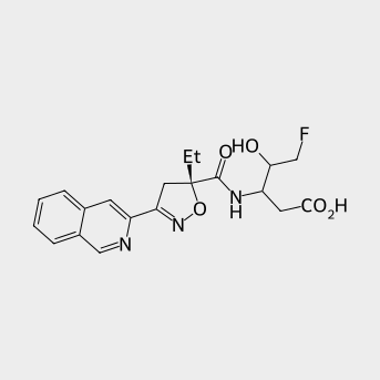 CC[C@]1(C(=O)NC(CC(=O)O)C(O)CF)CC(c2cc3ccccc3cn2)=NO1